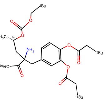 CCC(C)COC(=O)O[C@@H](C)CC(N)(Cc1ccc(OC(=O)CC(C)(C)C)c(OC(=O)CC(C)(C)C)c1)C(=O)OC